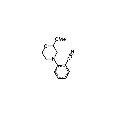 COC1CN(c2ccccc2[N+]#N)CCO1